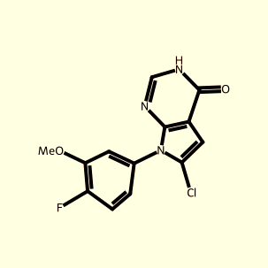 COc1cc(-n2c(Cl)cc3c(=O)[nH]cnc32)ccc1F